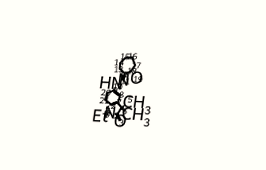 CCN1C(=O)C(C)(C)c2cc(N/N=C3\CCCCCC3=O)ccc21